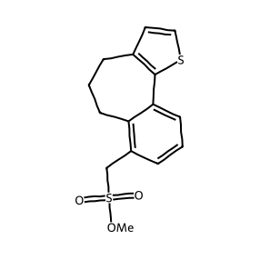 COS(=O)(=O)Cc1cccc2c1CCCc1ccsc1-2